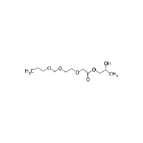 CCCOCOCCOCC(=O)OCC(C)O